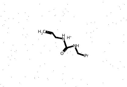 [CH2]C(C)CNC(=O)NCC=C.[H+]